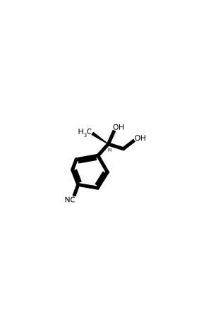 C[C@@](O)(CO)c1ccc(C#N)cc1